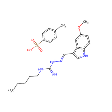 CCCCCNC(=N)N/N=C/c1c[nH]c2ccc(OC)cc12.Cc1ccc(S(=O)(=O)O)cc1